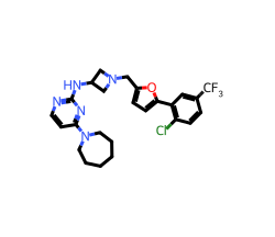 FC(F)(F)c1ccc(Cl)c(-c2ccc(CN3CC(Nc4nccc(N5CCCCCC5)n4)C3)o2)c1